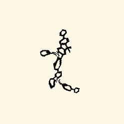 CC1(C)c2ccc(-c3ccccc3)cc2-c2cc3c(cc21)c1cc(-c2ccc4c(c2)c2ccccc2n4-c2ccc(-c4ccccc4)cc2)ccc1n3-c1ccccc1